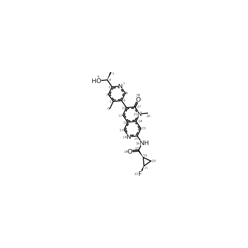 Cc1cc([C@H](C)O)ncc1-c1cc2cnc(NC(=O)[C@H]3C[C@H]3F)cc2n(C)c1=O